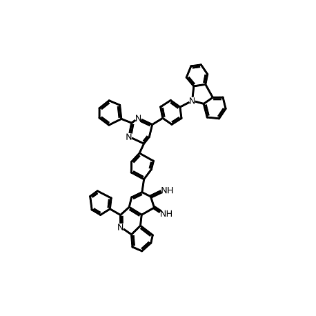 N=C1C(=N)c2c(c(-c3ccccc3)nc3ccccc23)C=C1c1ccc(-c2cc(-c3ccc(-n4c5ccccc5c5ccccc54)cc3)nc(-c3ccccc3)n2)cc1